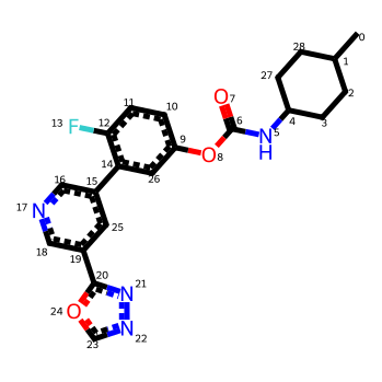 CC1CCC(NC(=O)Oc2ccc(F)c(-c3cncc(-c4nnco4)c3)c2)CC1